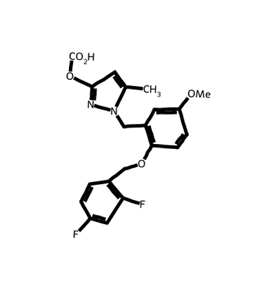 COc1ccc(OCc2ccc(F)cc2F)c(Cn2nc(OC(=O)O)cc2C)c1